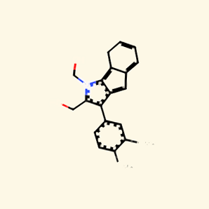 COc1ccc(-c2c(CO)n(CO)c3c2=CC2=CC=CCC=32)cc1OC